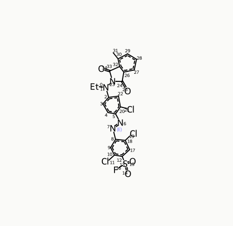 CCN(c1ccc(/N=N/c2cc(Cl)c(S(=O)(=O)F)cc2Cl)c(Cl)c1)N1C(=O)c2cccc(C)c2C1=O